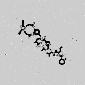 C#CC(=O)N1CCC(=O)Nc2cc(C[C@H](CC(C)C(=O)O)NC(=O)c3csc([C@@H](C[C@H](C(C)C)N(C)C(=O)[C@@H](NC(=O)[C@H]4CCCCN4C)[C@@H](C)CC)OC(C)=O)n3)ccc2OC(=O)CCN1C(=O)C#C